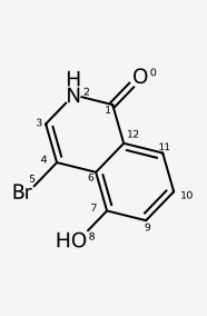 O=c1[nH]cc(Br)c2c(O)cccc12